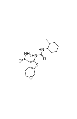 CC1CCCCC1NC(=O)Nc1sc2c(c1C(N)=O)CCOC2